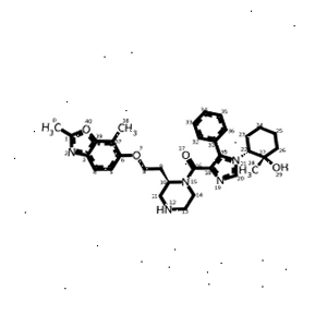 Cc1nc2ccc(OCC[C@@H]3CNCCN3C(=O)c3ncn([C@@H]4CCCC[C@]4(C)O)c3-c3ccccc3)c(C)c2o1